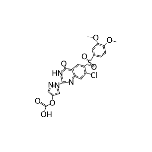 COc1ccc(S(=O)(=O)c2cc3c(=O)[nH]c(-n4cc(OC(=O)O)cn4)nc3cc2Cl)cc1OC